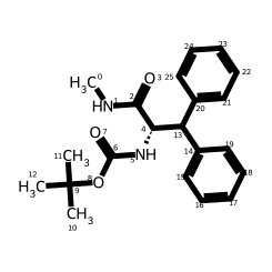 CNC(=O)[C@@H](NC(=O)OC(C)(C)C)C(c1ccccc1)c1ccccc1